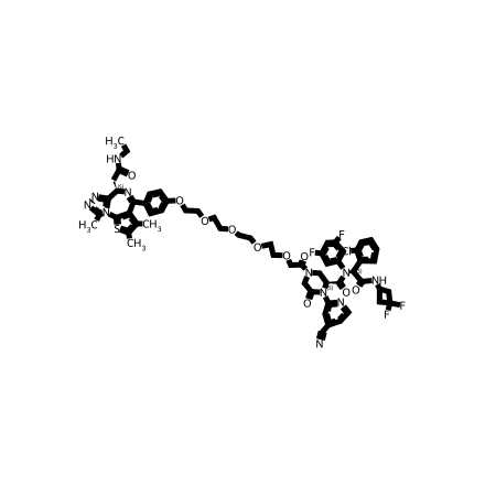 CCNC(=O)C[C@@H]1N=C(c2ccc(OCCOCCOCCOCCOCC(=O)N3CC(=O)N(c4cc(C#N)ccn4)[C@H](C(=O)N(c4cc(F)cc(F)c4)[C@H](C(=O)NC4CC(F)(F)C4)c4ccccc4Cl)C3)cc2)c2c(sc(C)c2C)-n2c(C)nnc21